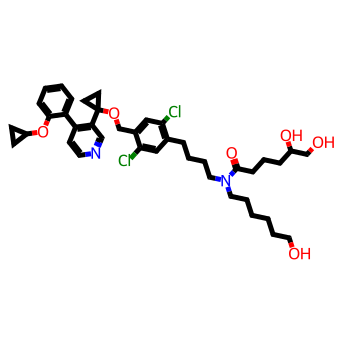 O=C(CCCC(O)CO)N(CCCCCCO)CCCCc1cc(Cl)c(COC2(c3cnccc3-c3ccccc3OC3CC3)CC2)cc1Cl